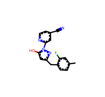 Cc1ccc(Cc2cc(O)n(-c3cc(C#N)ccn3)n2)c(F)c1